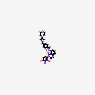 O=C1CCC(n2cnc3cccc(NCc4ccc(CN5CC(N6CCOCC6)C5)cc4F)c3c2=O)C(=O)N1